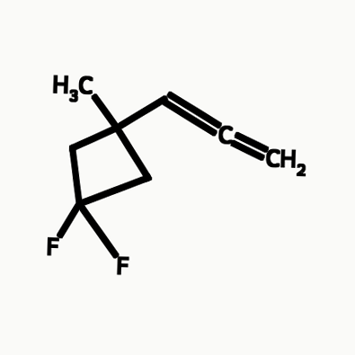 C=C=CC1(C)CC(F)(F)C1